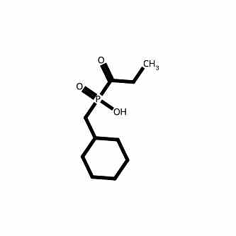 CCC(=O)P(=O)(O)CC1CCCCC1